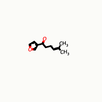 CC(C)=C[CH]CC(=O)c1ccoc1